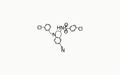 N#Cc1ccc2c(c1)CC(NS(=O)(=O)c1ccc(Cl)cc1)CN2Cc1cccc(Cl)c1